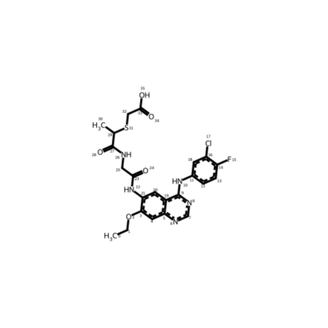 CCOc1cc2ncnc(Nc3ccc(F)c(Cl)c3)c2cc1NC(=O)CNC(=O)C(C)SCC(=O)O